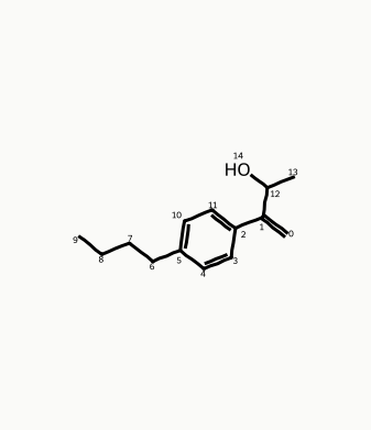 C=C(c1ccc(CCCC)cc1)C(C)O